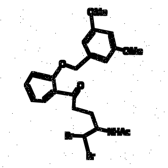 COc1cc(COc2ccccc2C(=O)CCC(NC(C)=O)C(Br)Br)cc(OC)c1